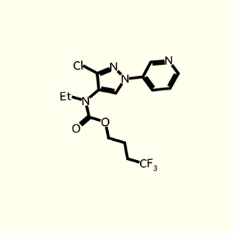 CCN(C(=O)OCCCC(F)(F)F)c1cn(-c2cccnc2)nc1Cl